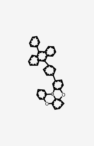 c1ccc(-c2c3ccccc3c(-c3ccc(-c4ccc5c(c4)B4c6ccccc6Oc6cccc(c64)O5)cc3)c3ccccc23)cc1